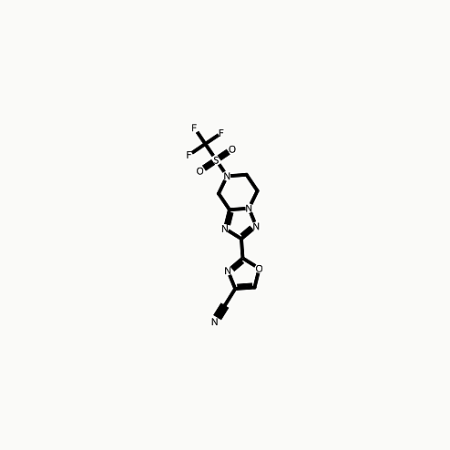 N#Cc1coc(-c2nc3n(n2)CCN(S(=O)(=O)C(F)(F)F)C3)n1